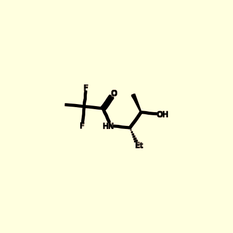 CC[C@H](NC(=O)C(C)(F)F)[C@@H](C)O